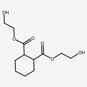 O=C(OCCO)C1CCCCC1C(=O)OCCO